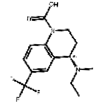 CCN(C)[C@@H]1CCN(C(=O)O)c2ccc(C(F)(F)F)cc21